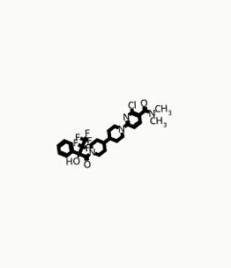 CN(C)C(=O)c1ccc(N2CCC(C3CCN(C(=O)[C@](O)(c4ccccc4)C(F)(F)C(F)(F)F)CC3)CC2)nc1Cl